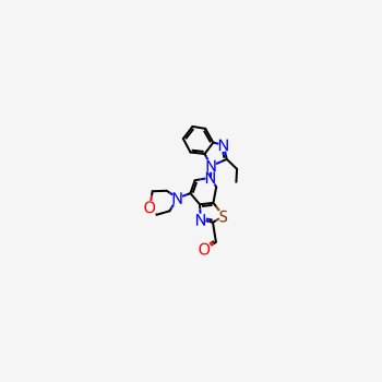 CCc1nc2ccccc2n1N1C=C(N2CCOCC2)c2nc(C=O)sc2C1